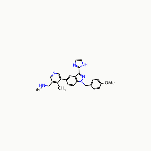 COc1ccc(Cn2nc(-c3ncc[nH]3)c3cc(-c4cncc(CNC(C)C)c4C)ccc32)cc1